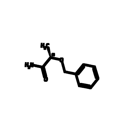 C[C@H](OCc1ccccc1)C(N)=O